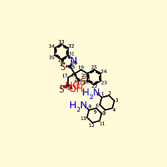 NC1CCCCC1.NC1CCCCC1.OC(=S)CC(Cc1ccccc1)(C(O)=S)c1nc2ccccc2s1